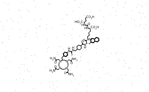 NC(=O)CN1CCN(CC(N)=O)CCN(CC(N)=O)C(Cc2ccc(NC(=S)NCC3CCC(C(=O)N[C@@H](Cc4ccc5ccccc5c4)C(=O)NCCCC[C@H](NC(=O)N[C@@H](CCC(=O)O)C(=O)O)C(=O)O)CC3)cc2)CN(CC(N)=O)CC1